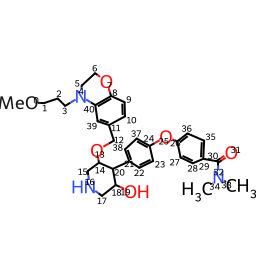 COCCCN1CCOc2ccc(COC3CNCC(O)C3c3ccc(Oc4ccc(C(=O)N(C)C)cc4)cc3)cc21